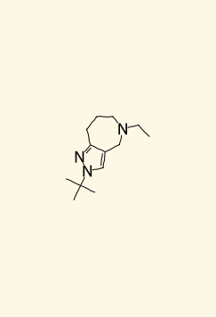 CCN1CCCc2nn(C(C)(C)C)cc2C1